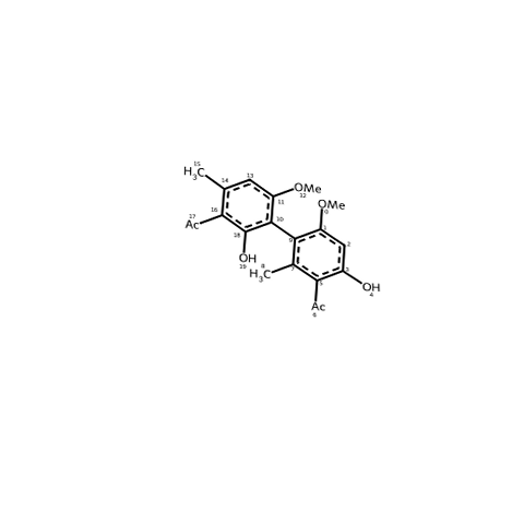 COc1cc(O)c(C(C)=O)c(C)c1-c1c(OC)cc(C)c(C(C)=O)c1O